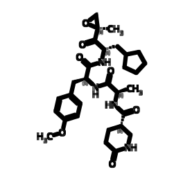 COc1ccc(C[C@H](NC(=O)[C@@H](C)NC(=O)[C@H]2CCC(=O)NC2)C(=O)N[C@@H](CC2CCCC2)C(=O)[C@]2(C)CO2)cc1